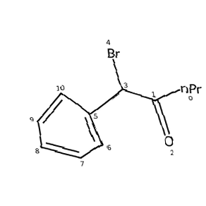 CCCC(=O)C(Br)c1ccccc1